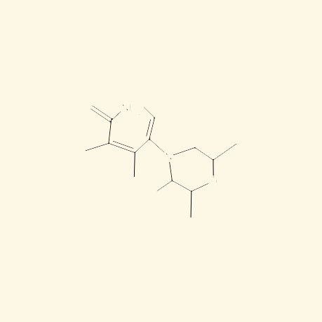 C=C(N)/C(C)=C(C)\C(=C/C)N1CC(C)OC(C)C1C